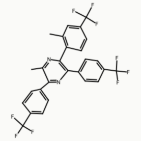 Cc1cc(C(F)(F)F)ccc1-c1nc(C)c(-c2ccc(C(F)(F)F)cc2)nc1-c1ccc(C(F)(F)F)cc1